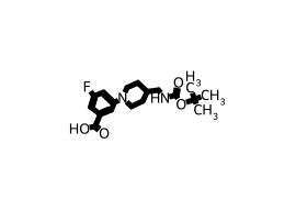 CC(C)(C)OC(=O)NCC1CCN(c2cc(F)cc(C(=O)O)c2)CC1